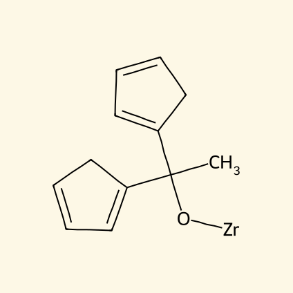 CC([O][Zr])(C1=CC=CC1)C1=CC=CC1